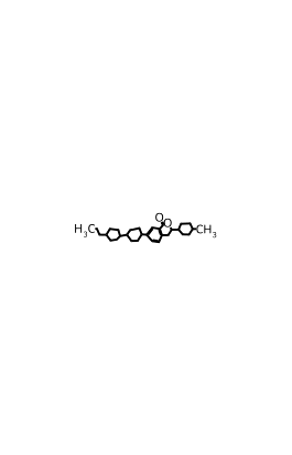 CCCC1CCC(C2CCC(c3ccc4c(c3)C(=O)OC(C3CCC(C)CC3)C4)CC2)CC1